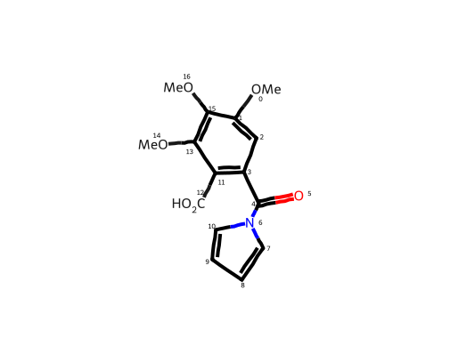 COc1cc(C(=O)n2cccc2)c(C(=O)O)c(OC)c1OC